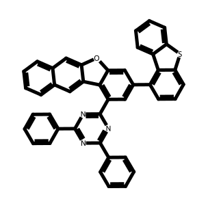 c1ccc(-c2nc(-c3ccccc3)nc(-c3cc(-c4cccc5sc6ccccc6c45)cc4oc5cc6ccccc6cc5c34)n2)cc1